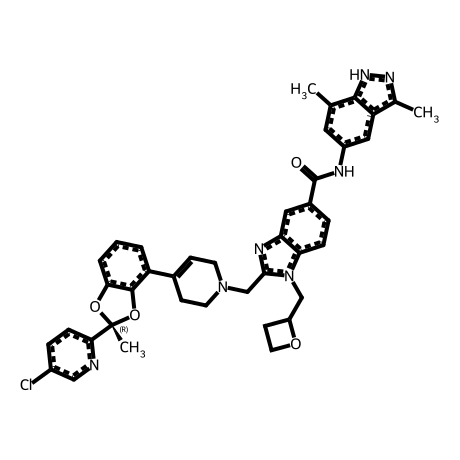 Cc1n[nH]c2c(C)cc(NC(=O)c3ccc4c(c3)nc(CN3CC=C(c5cccc6c5O[C@](C)(c5ccc(Cl)cn5)O6)CC3)n4CC3CCO3)cc12